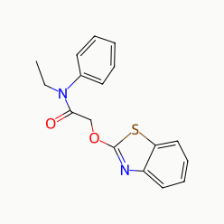 CCN(C(=O)COc1nc2ccccc2s1)c1ccccc1